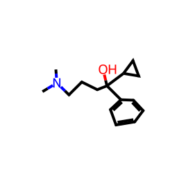 CN(C)CCCC(O)(c1ccccc1)C1CC1